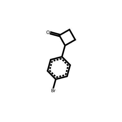 O=C1CCC1c1ccc(Br)cc1